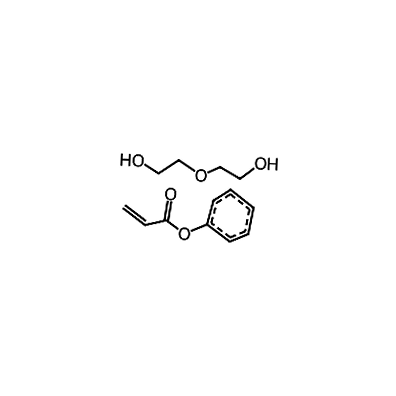 C=CC(=O)Oc1ccccc1.OCCOCCO